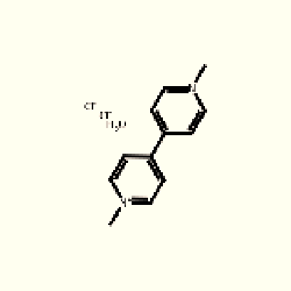 C[n+]1ccc(-c2cc[n+](C)cc2)cc1.O.[Cl-].[Cl-]